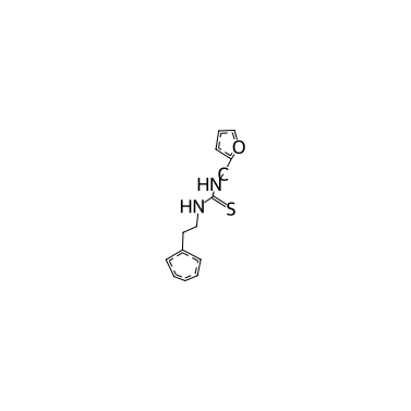 S=C(NCCc1ccccc1)NCc1ccco1